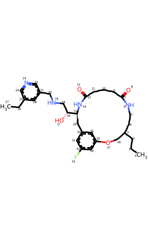 CCCC1CCNC(=O)CCCC(=O)N[C@H]([C@H](O)CNCc2cncc(CC)c2)Cc2cc(F)cc(c2)OC1